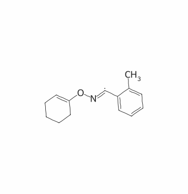 Cc1ccccc1[C]=NOC1=CCCCC1